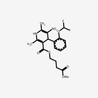 COC(=O)CCCOC(=O)C1=C(C)NC(C)=C([N+](=O)[O-])C1c1ccccc1OC(F)F